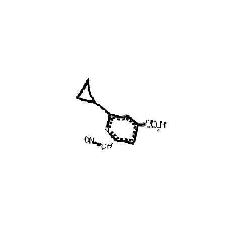 O=C(O)c1ccnc(C2CC2)c1.O=NO